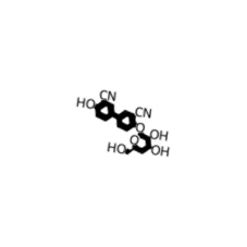 N#Cc1cc(-c2ccc(OC3O[C@H](CO)C[C@H](O)[C@@H]3O)c(C#N)c2)ccc1O